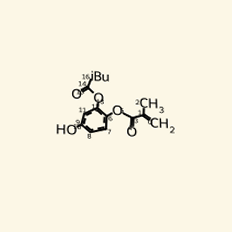 C=C(C)C(=O)Oc1ccc(O)cc1OC(=O)C(C)CC